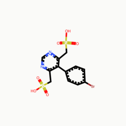 O=S(=O)(O)Cc1ncnc(CS(=O)(=O)O)c1-c1ccc(Br)cc1